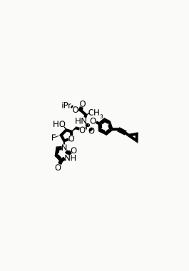 CC(C)OC(=O)[C@H](C)NP(=O)(OC[C@H]1O[C@@H](n2ccc(=O)[nH]c2=O)[C@H](F)[C@@H]1O)Oc1ccc(C#CC2CC2)cc1